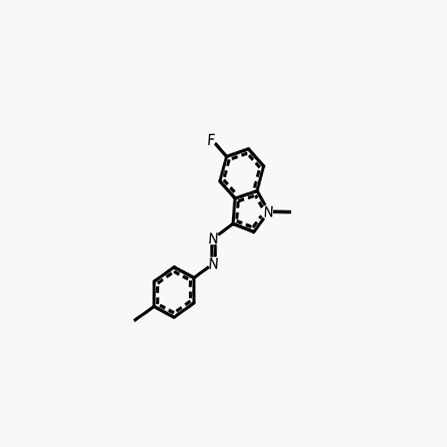 Cc1ccc(/N=N/c2cn(C)c3ccc(F)cc23)cc1